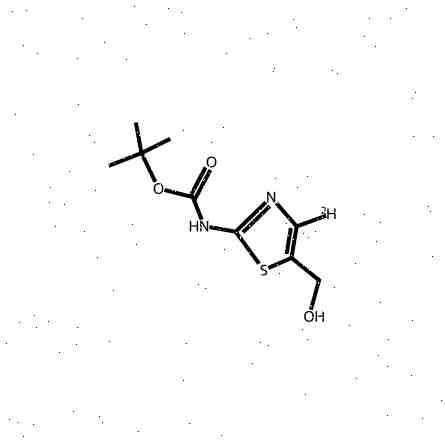 [2H]c1nc(NC(=O)OC(C)(C)C)sc1CO